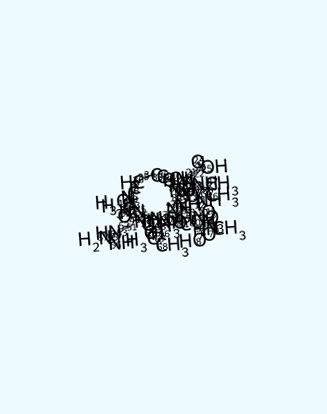 CNC(=O)C(CC(=O)O)NC(=O)CNC(=O)C(NC(=O)[C@H](CCC(=O)O)NC(=O)C1(C)CCCC=CCCCC(C)(NC)C(=O)N[C@@H](N[C@H](C=O)CCCNC(=N)N)C(=O)N[C@@H](N[C@H](C=O)CC(C)C)C(=O)N[C@@H](N[C@H](C=O)CC(C)C)C(=O)N1)C(C)C